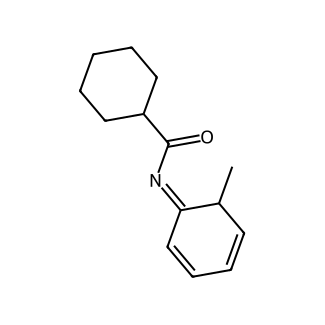 CC1C=CC=C/C1=N/C(=O)C1CCCCC1